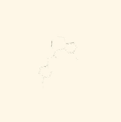 O=C(Nc1ccc(O)cc1)N1CCCCc2ccc([N+](=O)[O-])cc21